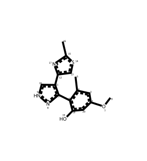 COc1cc(C)c(-c2n[nH]cc2-c2csc(C)n2)c(O)c1